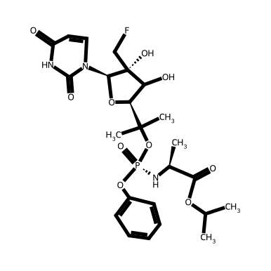 CC(C)OC(=O)[C@H](C)N[P@@](=O)(Oc1ccccc1)OC(C)(C)[C@H]1O[C@@H](n2ccc(=O)[nH]c2=O)[C@@](O)(CF)C1O